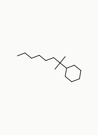 CCCCCCC(C)(C)C1CCCCC1